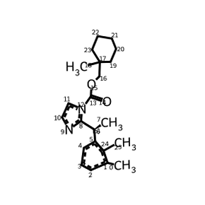 Cc1cccc([C@H](C)c2nccn2C(=O)OCC2(C)CCCCC2)c1C